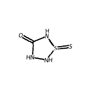 O=C1NNS(=S)N1